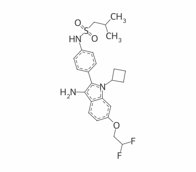 CC(C)CS(=O)(=O)Nc1ccc(-c2c(N)c3ccc(OCC(F)F)cc3n2C2CCC2)cc1